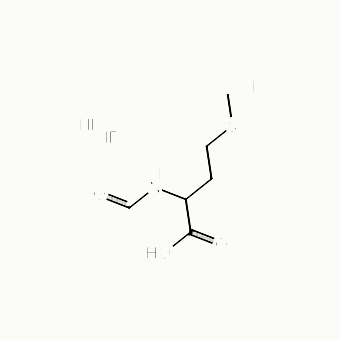 CSCCC(NC=O)C(=O)O.F.F.F